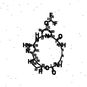 O=C1NCCCNC(=O)c2cc(OC(F)F)cc(n2)Nc2cc(n[nH]2)[C@H]2CC[C@H](C2)O1